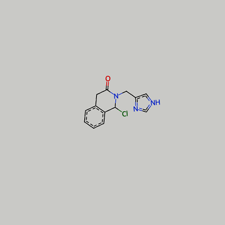 O=C1Cc2ccccc2C(Cl)N1Cc1c[nH]cn1